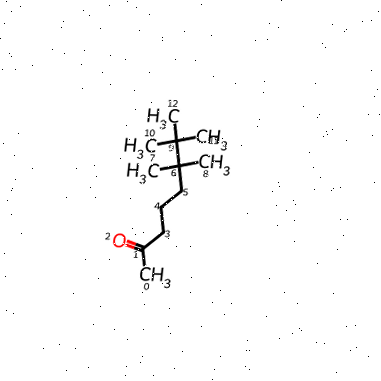 CC(=O)CCCC(C)(C)C(C)(C)C